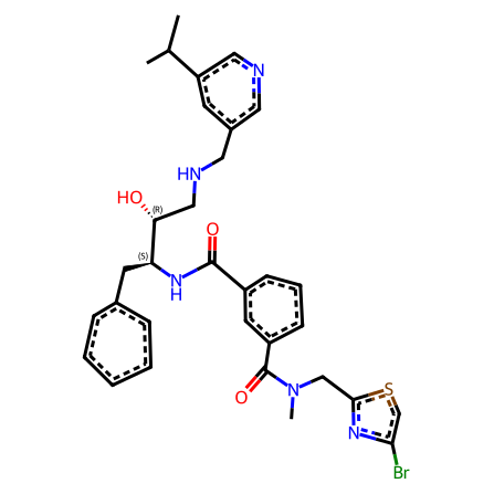 CC(C)c1cncc(CNC[C@@H](O)[C@H](Cc2ccccc2)NC(=O)c2cccc(C(=O)N(C)Cc3nc(Br)cs3)c2)c1